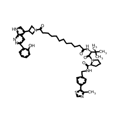 Cc1ncsc1-c1ccc(CNC(=O)[C@@H]2CCCN2C(=O)[C@@H](NC(=O)CCCCCCCCCCC(=O)N2CC(c3c[nH]c4nnc(-c5ccccc5O)cc34)C2)C(C)(C)C)cc1